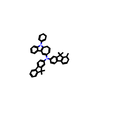 CC1CC=CC2=C1C(C)(C)c1cc(N(C3=Cc4c(n(C5=CCCC=C5)c5ccccc45)CC=C3)c3ccc4c(c3)C(C)(C)c3ccccc3-4)ccc12